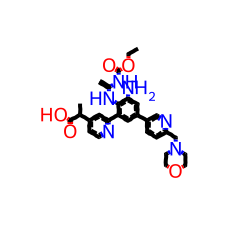 C=C(NC(=O)OCC)Nc1c(N)cc(-c2ccc(CN3CCOCC3)nc2)cc1-c1cc(C(C)C(=O)O)ccn1